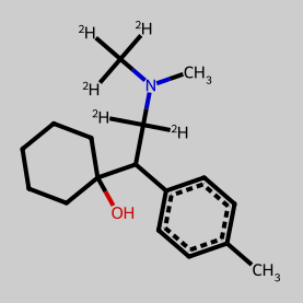 [2H]C([2H])([2H])N(C)C([2H])([2H])C(c1ccc(C)cc1)C1(O)CCCCC1